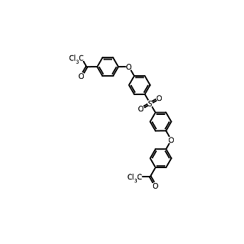 O=C(c1ccc(Oc2ccc(S(=O)(=O)c3ccc(Oc4ccc(C(=O)C(Cl)(Cl)Cl)cc4)cc3)cc2)cc1)C(Cl)(Cl)Cl